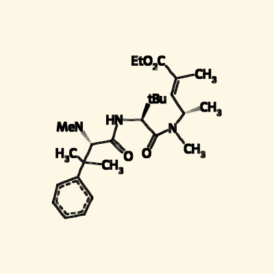 CCOC(=O)/C(C)=C/[C@H](C)N(C)C(=O)[C@@H](NC(=O)[C@@H](NC)C(C)(C)c1ccccc1)C(C)(C)C